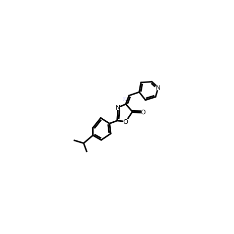 CC(C)c1ccc(C2=N/C(=C/c3ccncc3)C(=O)O2)cc1